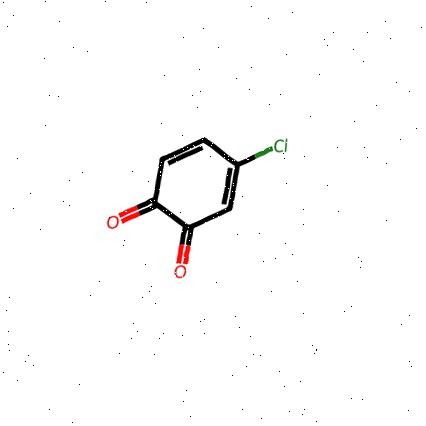 O=C1C=CC(Cl)=CC1=O